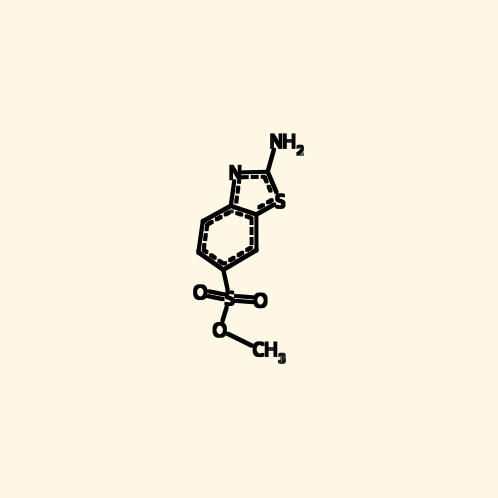 COS(=O)(=O)c1ccc2nc(N)sc2c1